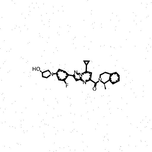 C[C@@H]1c2ccccc2CCN1C(=O)c1cc(C2CC2)n2nc(-c3ccc(N4CC[C@@H](O)C4)cc3F)cc2n1